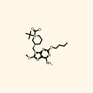 CCCCOc1nc(N)c2nc(OC)n(C[C@@H]3CCC[N+](C(=O)[O-])(C(C)(C)C)C3)c2n1